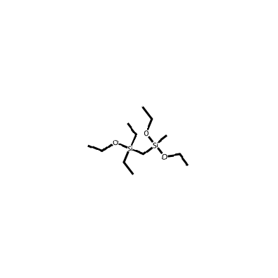 CCO[Si](CC)(CC)C[Si](C)(OCC)OCC